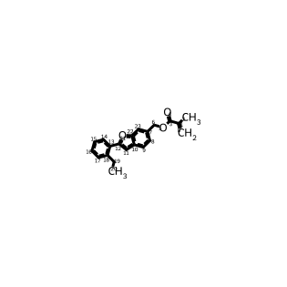 C=C(C)C(=O)OCc1ccc2cc(-c3ccccc3CC)oc2c1